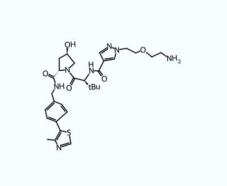 Cc1ncsc1-c1ccc(CNC(=O)[C@@H]2C[C@@H](O)CN2C(=O)[C@@H](NC(=O)c2cnn(CCOCCN)c2)C(C)(C)C)cc1